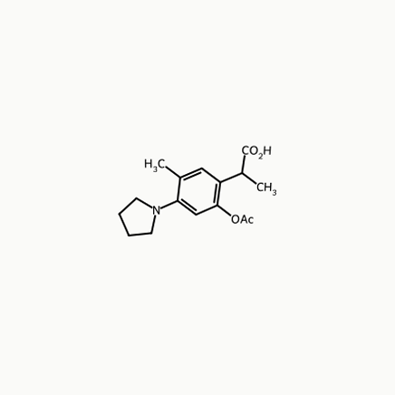 CC(=O)Oc1cc(N2CCCC2)c(C)cc1C(C)C(=O)O